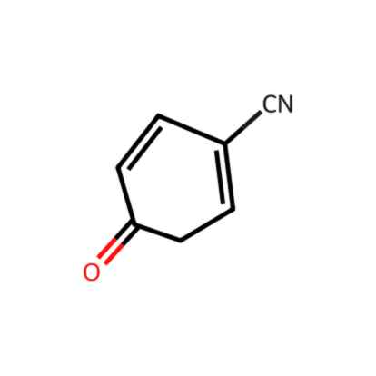 N#CC1=CCC(=O)C=C1